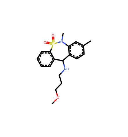 COCCCNC1c2ccc(C)cc2N(C)S(=O)(=O)c2ccccc21